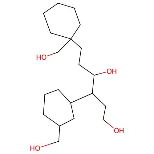 OCCC(C(O)CCC1(CO)CCCCC1)C1CCCC(CO)C1